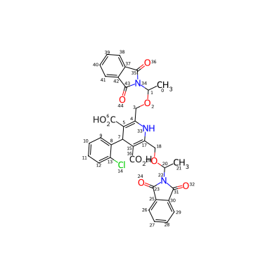 CC(OCC1=C(C(=O)O)C(c2ccccc2Cl)C(C(=O)O)=C(COC(C)N2C(=O)c3ccccc3C2=O)N1)N1C(=O)c2ccccc2C1=O